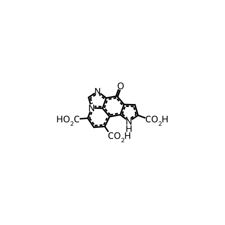 O=C(O)c1cc2c(=O)c3ncn4c(C(=O)O)cc(C(=O)O)c(c2[nH]1)c34